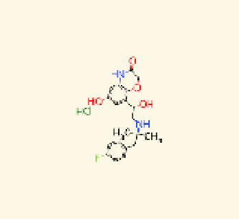 CC(C)(Cc1ccc(F)cc1)NCC(O)c1cc(O)cc2c1OCC(=O)N2.Cl